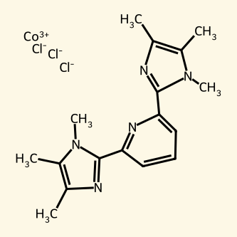 Cc1nc(-c2cccc(-c3nc(C)c(C)n3C)n2)n(C)c1C.[Cl-].[Cl-].[Cl-].[Co+3]